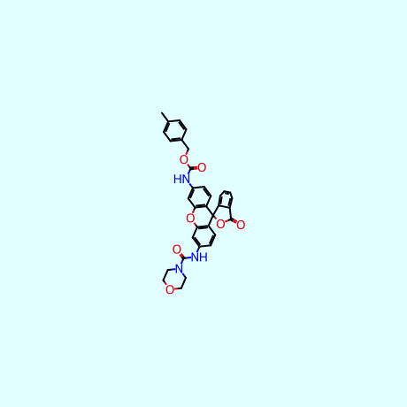 Cc1ccc(COC(=O)Nc2ccc3c(c2)Oc2cc(NC(=O)N4CCOCC4)ccc2C32OC(=O)c3ccccc32)cc1